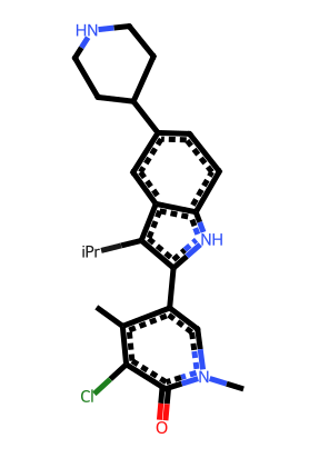 Cc1c(-c2[nH]c3ccc(C4CCNCC4)cc3c2C(C)C)cn(C)c(=O)c1Cl